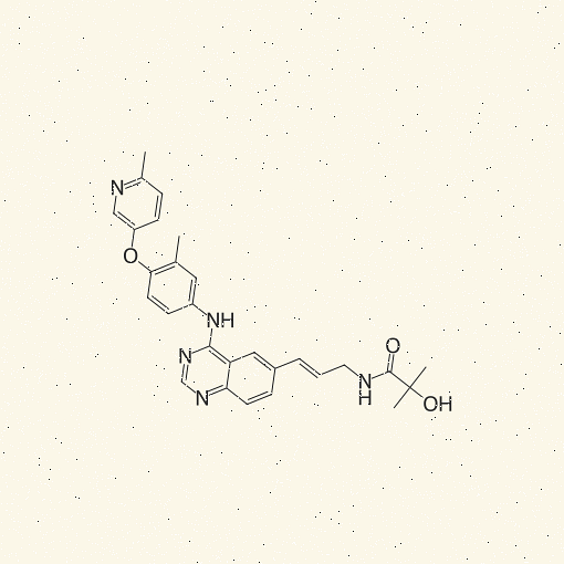 Cc1ccc(Oc2ccc(Nc3ncnc4ccc(C=CCNC(=O)C(C)(C)O)cc34)cc2C)cn1